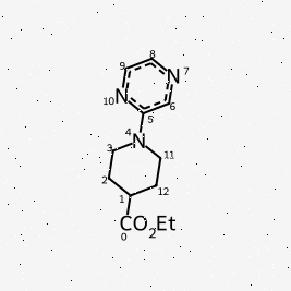 CCOC(=O)C1CCN(c2cnccn2)CC1